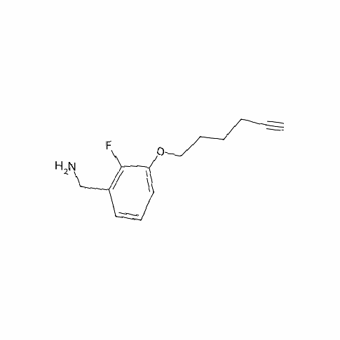 C#CCCCCOc1cccc(CN)c1F